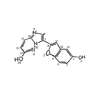 Oc1ccc2oc(-c3cnc4ccc(O)nn34)cc2c1